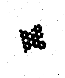 C=Cc1c(-c2ccccc2C)nc(B(c2c(C)cc(C)cc2C)c2c(C)cc(C)cc2C)c2ccc3ccccc3c12